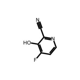 N#Cc1nccc(F)c1O